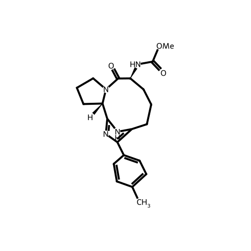 COC(=O)N[C@H]1CCCc2[nH]c(nc2-c2ccc(C)cc2)[C@@H]2CCCN2C1=O